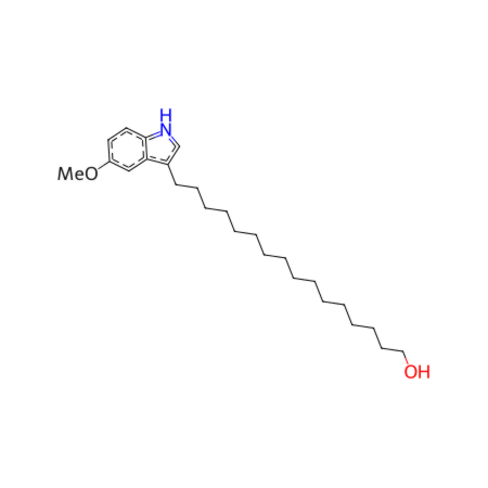 COc1ccc2[nH]cc(CCCCCCCCCCCCCCCCO)c2c1